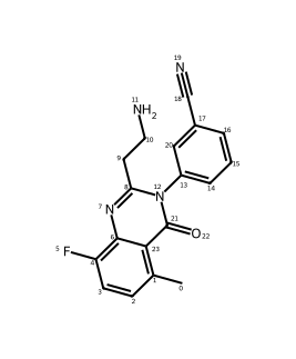 Cc1ccc(F)c2nc(CCN)n(-c3cccc(C#N)c3)c(=O)c12